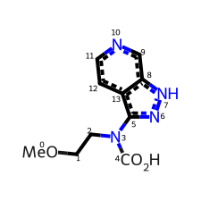 COCCN(C(=O)O)c1n[nH]c2cnccc12